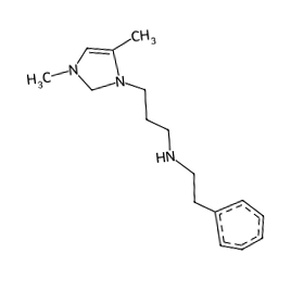 CC1=CN(C)CN1CCCNCCc1ccccc1